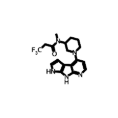 CN(C(=O)CC(F)(F)F)C1CCCN(c2ccnc3[nH]c4[nH]ccc4c23)C1